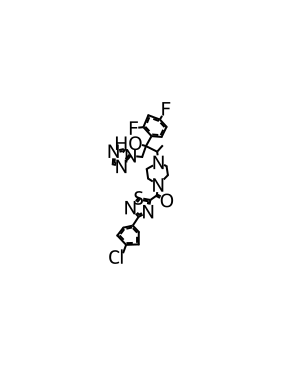 CC(N1CCN(C(=O)c2nc(-c3ccc(Cl)cc3)ns2)CC1)C(O)(Cn1cncn1)c1ccc(F)cc1F